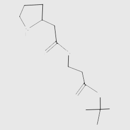 CC(C)(C)OC(=O)CCNC(=O)CC1CCCN1